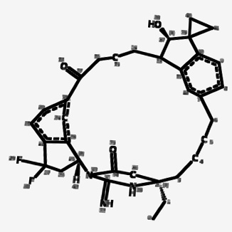 CC[C@]12CCCCc3ccc4c(c3)C(CCCC(=O)c3ccc5c(c3)[C@@H](CC5(F)F)N(C(=N)N1)C(=O)C2)[C@@H](O)C41CC1